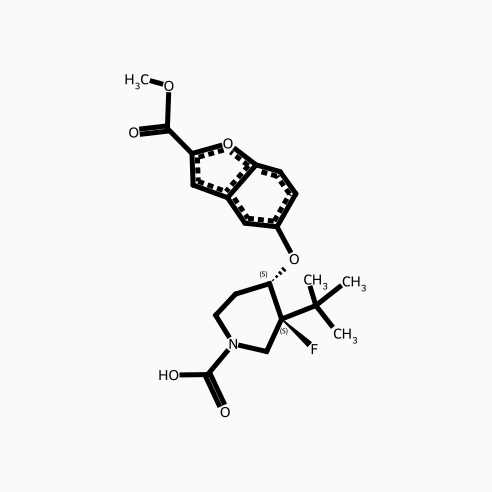 COC(=O)c1cc2cc(O[C@H]3CCN(C(=O)O)C[C@@]3(F)C(C)(C)C)ccc2o1